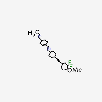 C/C=C/c1ccc(/C=C/C2CCC(C#CC3CCC(OC)C(F)(F)C3)CC2)cc1